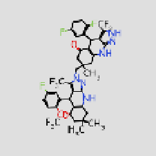 CC1(C)CC(=O)C2=C(C1)Nc1nn(CC3(C)CC(=O)C4=C(C3)Nc3n[nH]c(C(F)(F)F)c3C4c3cc(F)ccc3F)c(C(F)(F)F)c1C2c1cc(F)ccc1OC(F)(F)F